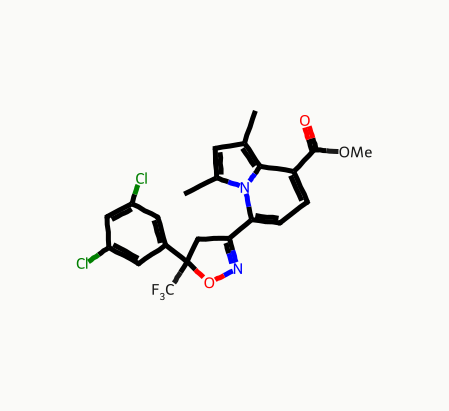 COC(=O)c1ccc(C2=NOC(c3cc(Cl)cc(Cl)c3)(C(F)(F)F)C2)n2c(C)cc(C)c12